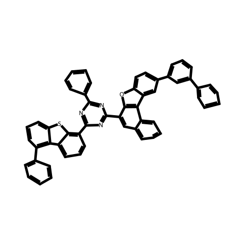 c1ccc(-c2cccc(-c3ccc4oc5c(-c6nc(-c7ccccc7)nc(-c7cccc8c7sc7cccc(-c9ccccc9)c78)n6)cc6ccccc6c5c4c3)c2)cc1